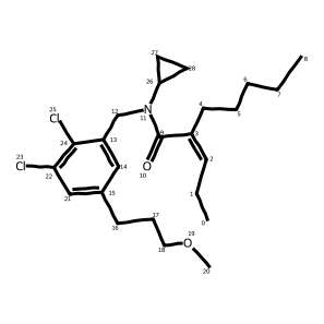 CC/C=C(/CCCCC)C(=O)N(Cc1cc(CCCOC)cc(Cl)c1Cl)C1CC1